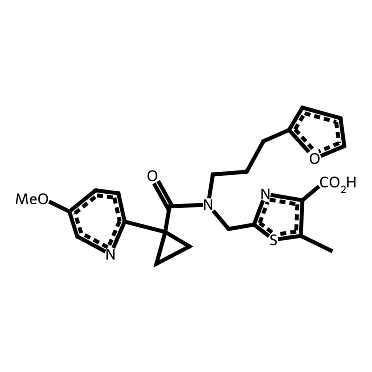 COc1ccc(C2(C(=O)N(CCCc3ccco3)Cc3nc(C(=O)O)c(C)s3)CC2)nc1